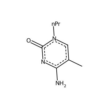 CCCn1cc(C)c(N)nc1=O